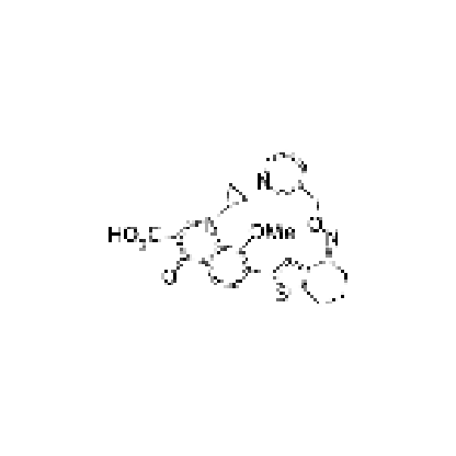 COc1c(-c2cc3c(s2)CCC/C3=N/OCc2cccnc2)ccc2c(=O)c(C(=O)O)cn(C3CC3)c12